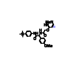 CN/C=C\C(=N)OCC(=O)NC(C(=O)Nc1ccc([Si](C)(C)C)cc1)c1ccc(OC)cc1